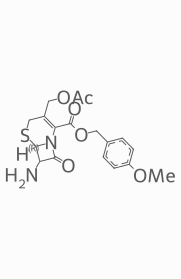 COc1ccc(COC(=O)C2=C(COC(C)=O)CS[C@@H]3C(N)C(=O)N23)cc1